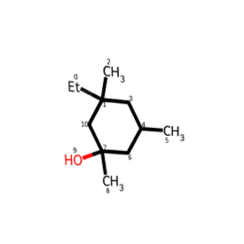 CCC1(C)CC(C)CC(C)(O)C1